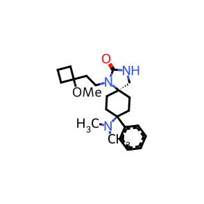 COC1(CCN2C(=O)NC[C@]23CC[C@](c2ccccc2)(N(C)C)CC3)CCC1